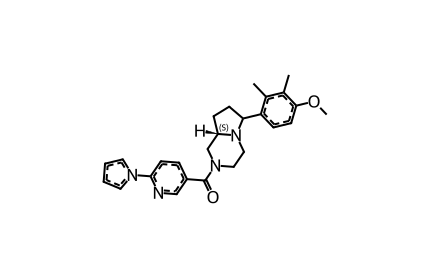 COc1ccc(C2CC[C@H]3CN(C(=O)c4ccc(-n5cccc5)nc4)CCN23)c(C)c1C